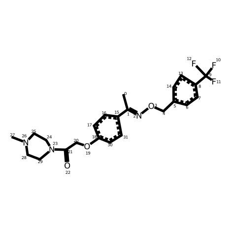 C/C(=N\OCc1ccc(C(F)(F)F)cc1)c1ccc(OCC(=O)N2CCN(C)CC2)cc1